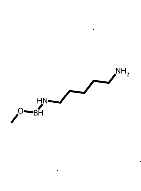 COBNCCCCCN